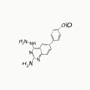 NNc1nc(N)nc2ccc(-c3ccc(C=O)cc3)cc12